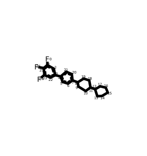 Fc1cc(-c2ccc(C3CCC(C4CCCCC4)CC3)cc2)cc(F)c1F